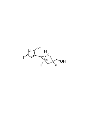 CC(C)n1nc(I)cc1C1[C@H]2CC(F)(CO)C[C@@H]12